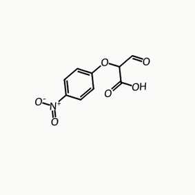 O=CC(Oc1ccc([N+](=O)[O-])cc1)C(=O)O